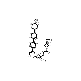 C/C=C(\C/C=C\C(C)(C)CCC(=O)N1CC(C(=O)O)C1)c1ncc(C2=CCC(C3CCC(C)CC3)CC2)cn1